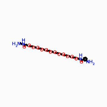 NCCNC(=O)CCOCCOCCOCCOCCOCCOCCOCCOCCOCCOCCOCCOCCNC(=O)c1cccc(N)c1